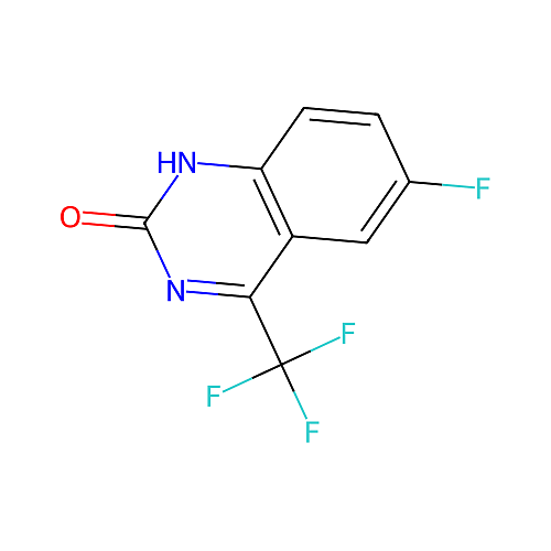 O=c1nc(C(F)(F)F)c2cc(F)ccc2[nH]1